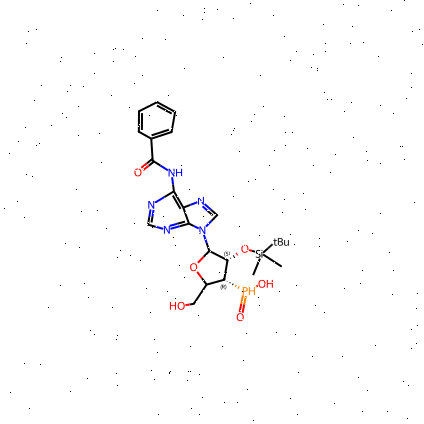 CC(C)(C)[Si](C)(C)O[C@H]1C(n2cnc3c(NC(=O)c4ccccc4)ncnc32)OC(CO)[C@H]1[PH](=O)O